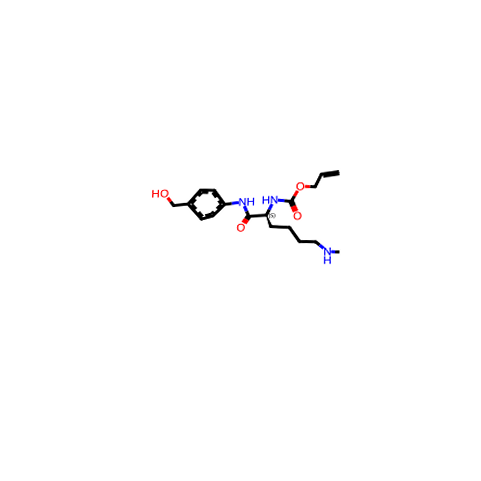 C=CCOC(=O)N[C@@H](CCCCNC)C(=O)Nc1ccc(CO)cc1